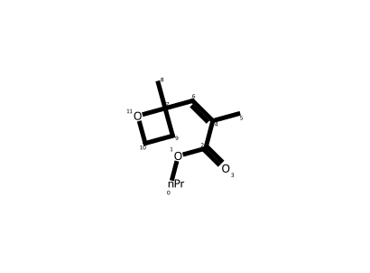 CCCOC(=O)C(C)=CC1(C)CCO1